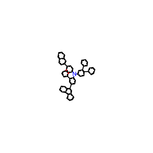 c1ccc(-c2ccc(N(c3ccc(-c4ccc5ccccc5c4)cc3)c3ccc(-c4cc5ccccc5c5ccccc45)cc3-c3ccccc3)cc2-c2ccccc2)cc1